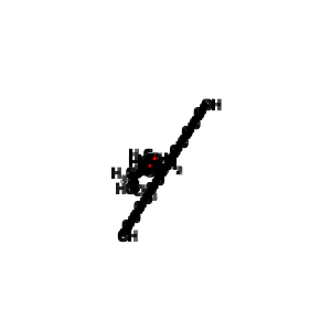 C=C(C)C(=O)O.C=C(C)C(=O)O.CC(O)COC(C)COC(C)CO.OCCOCCOCCOCCOCCOCCOCCOCCOCCOCCOCCOCCOCCOCCO